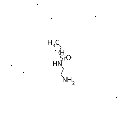 CCC[SiH]([O])NCCN